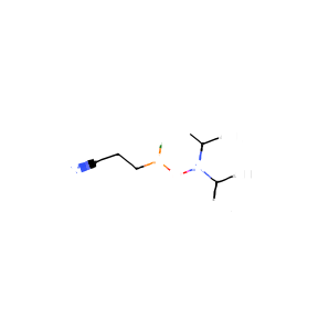 CC(C)N(OP(Cl)CCC#N)C(C)C